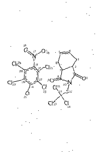 O=C1C2CC=CCC2C(=O)N1SC(Cl)(Cl)Cl.O=[N+]([O-])c1c(Cl)c(Cl)c(Cl)c(Cl)c1Cl